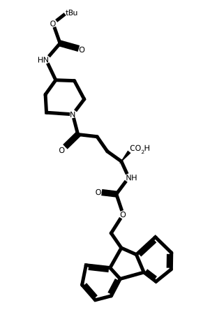 CC(C)(C)OC(=O)NC1CCN(C(=O)CC[C@H](NC(=O)OCC2c3ccccc3-c3ccccc32)C(=O)O)CC1